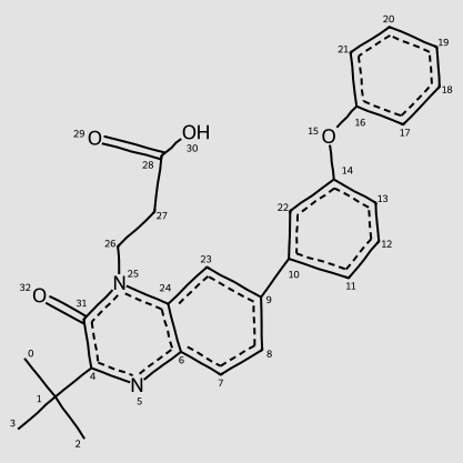 CC(C)(C)c1nc2ccc(-c3cccc(Oc4ccccc4)c3)cc2n(CCC(=O)O)c1=O